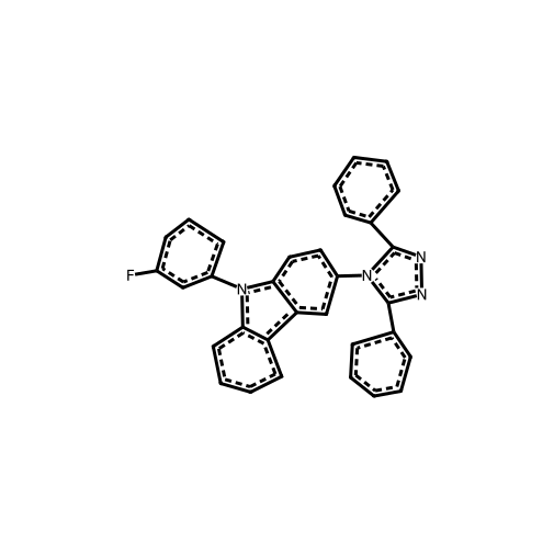 Fc1cccc(-n2c3ccccc3c3cc(-n4c(-c5ccccc5)nnc4-c4ccccc4)ccc32)c1